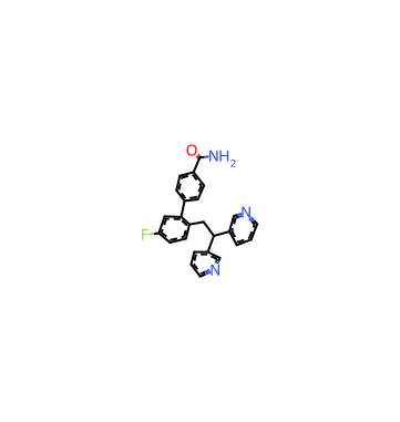 NC(=O)c1ccc(-c2cc(F)ccc2CC(c2cccnc2)c2cccnc2)cc1